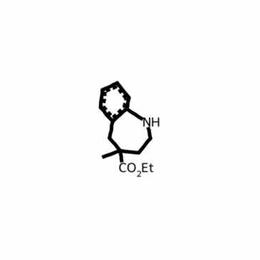 CCOC(=O)C1(C)CCNc2ccccc2C1